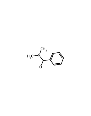 CN(C)C([O])c1ccccc1